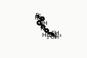 CC(CC(C)(C)C(=O)O)C1=CCC(c2ccc(C3=C=CCC=C(c4ccccc4OC(F)(F)F)N3)cn2)C=C1